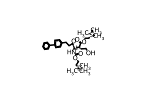 C[Si](C)(C)CCOC(=O)NN(C(=O)CCc1ccc(-c2ccccc2)cc1)[C@@H](CCO)C(=O)OCC[Si](C)(C)C